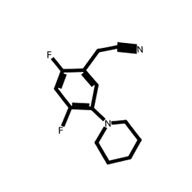 N#CCc1cc(N2CCCCC2)c(F)cc1F